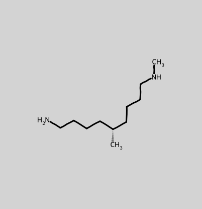 CNCCCC[C@H](C)CCCCN